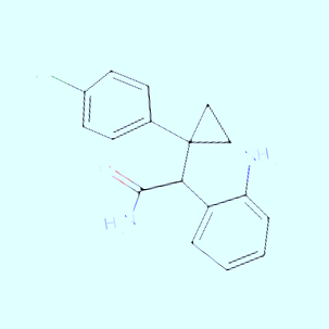 NC(=O)C(c1ccccc1N)C1(c2ccc(Cl)cc2)CC1